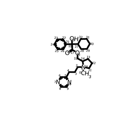 C[N@+]1(CCCc2cnccn2)CCCC1COC(=O)C(O)(c1ccccc1)C1CCCCC1